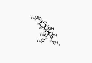 CCOC(OCC)C(O)(CO)C(O)c1ccc(OC)cc1